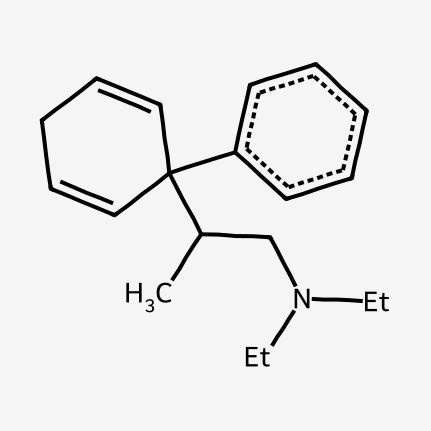 CCN(CC)CC(C)C1(c2ccccc2)C=CCC=C1